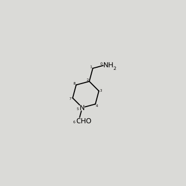 NCC1CCN(C=O)CC1